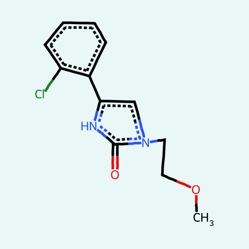 COCCn1cc(-c2ccccc2Cl)[nH]c1=O